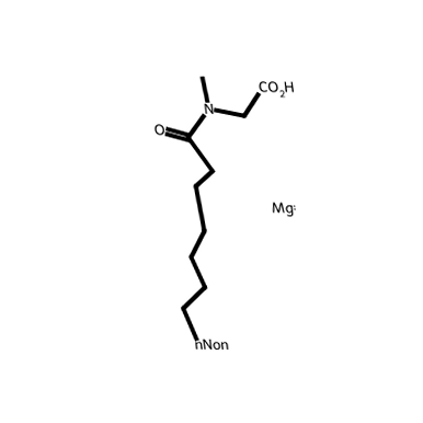 CCCCCCCCCCCCCCCC(=O)N(C)CC(=O)O.[Mg]